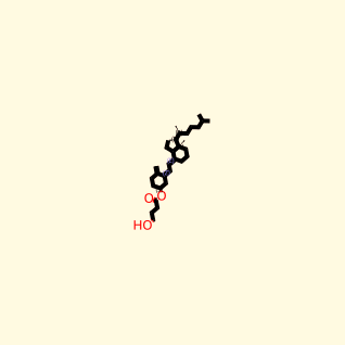 C=C1CC[C@H](OC(=O)CCCO)C/C1=C/C=C1\CCC[C@@]2(C)C1CC[C@@H]2[C@H](C)CCCC(C)C